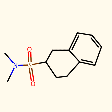 CN(C)S(=O)(=O)C1CCc2ccccc2C1